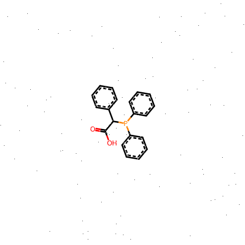 O=C(O)C(c1ccccc1)P(c1ccccc1)c1ccccc1